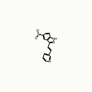 O=[N+]([O-])c1ccc2[nH]nc(C=Cc3cccnc3)c2c1